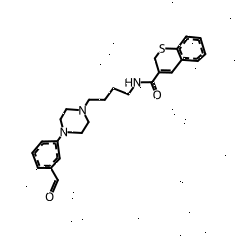 O=Cc1cccc(N2CCN(CCCCNC(=O)C3=Cc4ccccc4SC3)CC2)c1